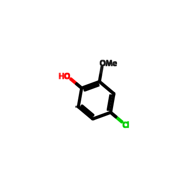 COc1cc(Cl)c[c]c1O